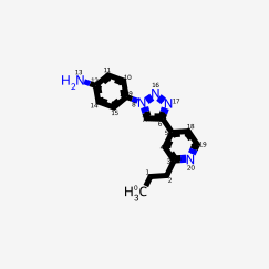 CCCc1cc(-c2cn(-c3ccc(N)cc3)nn2)ccn1